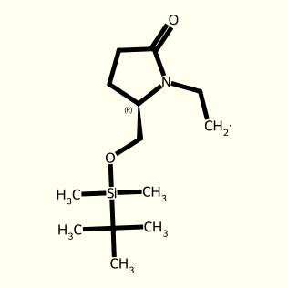 [CH2]CN1C(=O)CC[C@@H]1CO[Si](C)(C)C(C)(C)C